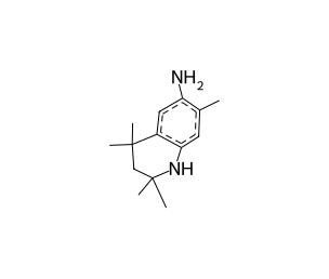 Cc1cc2c(cc1N)C(C)(C)CC(C)(C)N2